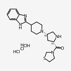 Cl.Cl.Cl.O=C([C@@H]1C[C@H](N2CCC(c3nc4ccccc4[nH]3)CC2)CN1)N1CCSC1